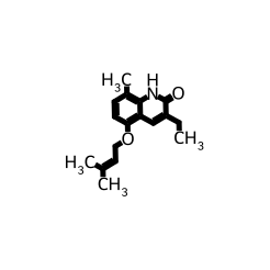 CCc1cc2c(OCC=C(C)C)ccc(C)c2[nH]c1=O